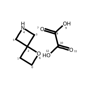 C1CC2(CNC2)O1.O=C(O)C(=O)O